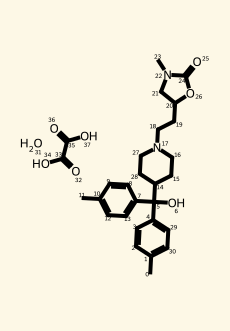 Cc1ccc(C(O)(c2ccc(C)cc2)C2CCN(CCC3CN(C)C(=O)O3)CC2)cc1.O.O=C(O)C(=O)O